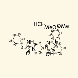 COc1ccc(C2=NN(C3CCN(C(=O)[C@@H](N)CC4CCCCC4)CC3)C(=O)[C@@H]3CCCC[C@H]23)cc1OC.Cl